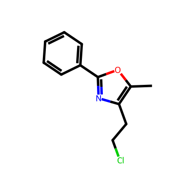 Cc1oc(-c2ccccc2)nc1CCCl